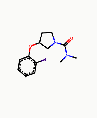 CN(C)C(=O)N1CCC(Oc2cc[c]cc2I)C1